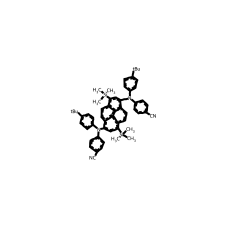 CC(C)(C)c1ccc(N(c2ccc(C#N)cc2)c2cc([Si](C)(C)C)c3ccc4c(N(c5ccc(C#N)cc5)c5ccc(C(C)(C)C)cc5)cc([Si](C)(C)C)c5ccc2c3c45)cc1